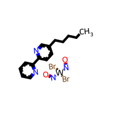 CCCCCc1ccc(-c2ccccn2)nc1.O=[N][W]([Br])([Br])[N]=O